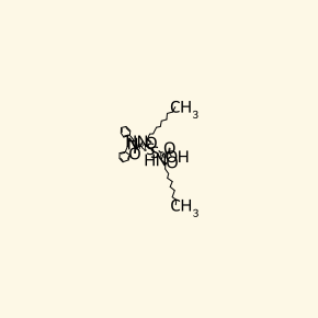 CCCCCCCCCC(=O)N[C@@H](CSSC[C@H](NC(=O)CCCCCCCCC)C(=O)N(Cc1ccccc1)Cc1ccccc1)C(=O)O